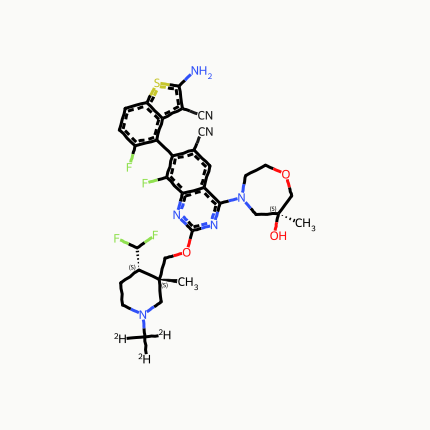 [2H]C([2H])([2H])N1CC[C@H](C(F)F)[C@](C)(COc2nc(N3CCOC[C@@](C)(O)C3)c3cc(C#N)c(-c4c(F)ccc5sc(N)c(C#N)c45)c(F)c3n2)C1